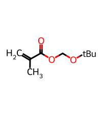 C=C(C)C(=O)OCOC(C)(C)C